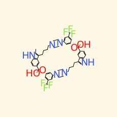 Cc1[nH]c2ccc(C(=O)O)cc2c1CCCCN1CCN(c2cccc(C(F)(F)F)c2)CC1.O=C(O)c1ccc2[nH]cc(CCCCN3CCN(c4cccc(C(F)(F)F)c4)CC3)c2c1